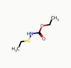 C[CH]OC(=O)NSCC